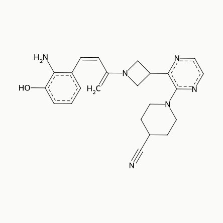 C=C(/C=C\c1cccc(O)c1N)N1CC(c2nccnc2N2CCC(C#N)CC2)C1